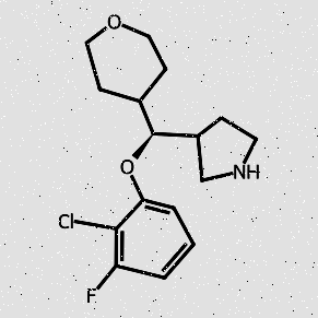 Fc1cccc(O[C@@H](C2CCOCC2)C2CCNC2)c1Cl